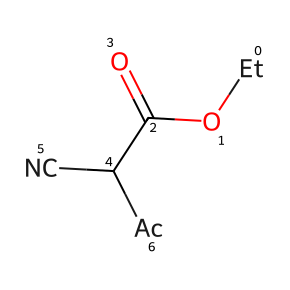 [CH2]COC(=O)C(C#N)C(C)=O